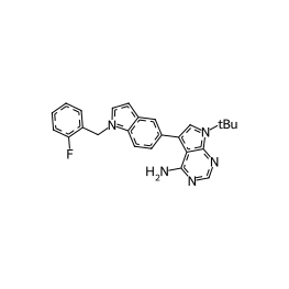 CC(C)(C)n1cc(-c2ccc3c(ccn3Cc3ccccc3F)c2)c2c(N)ncnc21